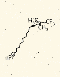 CCCOCCCCCCCCCCC#C[Si](C)(C)CCC(F)(F)F